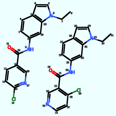 CCn1ccc2ccc(NC(=O)c3ccc(Cl)nc3)cc21.CCn1ccc2ccc(NC(=O)c3cnccc3Cl)cc21